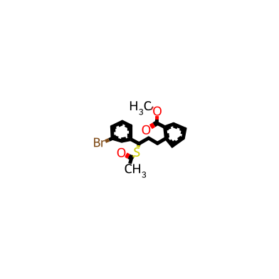 COC(=O)c1ccccc1CCC(SC(C)=O)c1cccc(Br)c1